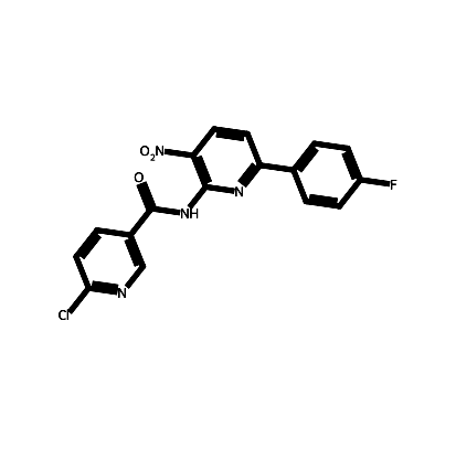 O=C(Nc1nc(-c2ccc(F)cc2)ccc1[N+](=O)[O-])c1ccc(Cl)nc1